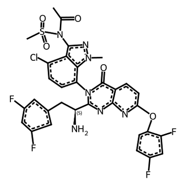 CC(=O)N(c1nn(C)c2c(-n3c([C@@H](N)Cc4cc(F)cc(F)c4)nc4nc(Oc5ccc(F)cc5F)ccc4c3=O)ccc(Cl)c12)S(C)(=O)=O